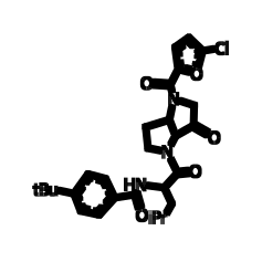 CC(C)CC(NC(=O)c1ccc(C(C)(C)C)cc1)C(=O)N1CCC2C1C(=O)CN2C(=O)c1ccc(Cl)o1